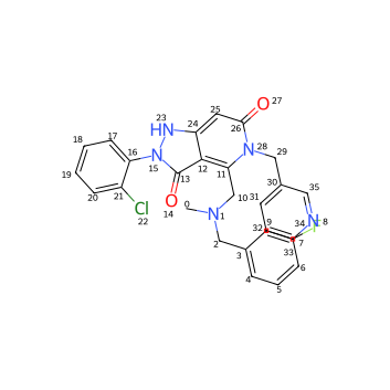 CN(Cc1cccc(F)c1)Cc1c2c(=O)n(-c3ccccc3Cl)[nH]c2cc(=O)n1Cc1cccnc1